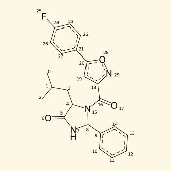 CC(C)CC1C(=O)NC(c2ccccc2)N1C(=O)c1cc(-c2ccc(F)cc2)on1